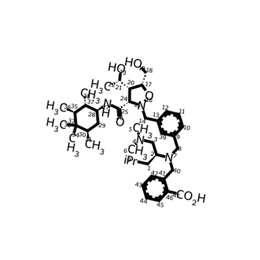 CC(C)C[C@@H](CN(C)C)N(Cc1cccc(CN2O[C@@H](CO)[C@@H]([C@H](C)O)[C@H]2C(=O)N[C@H]2C[C@@H](C)C(C)(C)[C@@H](C)[C@@H]2C)c1)Cc1ccccc1C(=O)O